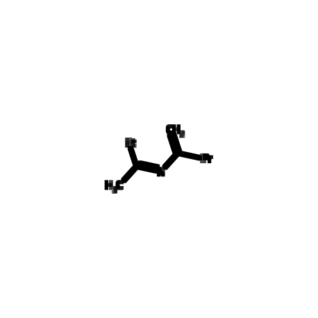 C=C(/N=C(/C)CC)C(C)C